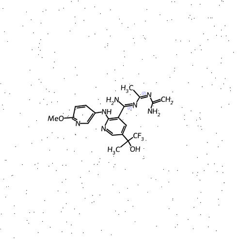 C=C(N)/N=C(C)\N=C(/N)c1cc(C(C)(O)C(F)(F)F)cnc1Nc1ccc(OC)nc1